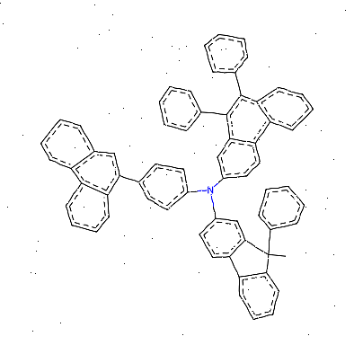 CC1(c2ccccc2)c2ccccc2-c2ccc(N(c3ccc(-c4cc5ccccc5c5ccccc45)cc3)c3ccc4c(c3)c(-c3ccccc3)c(-c3ccccc3)c3ccccc34)cc21